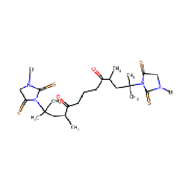 CCN1CC(=S)N(C(C)(C)CC(C)C(=O)CCCC(=O)C(C)CC(C)(C)N2C(=S)CN(CC)C2=S)C1=S